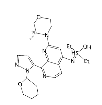 CC[SH](O)(CC)=Nc1cc(N2CCOC[C@H]2C)nc2c(-c3ccnn3C3CCCCO3)nccc12